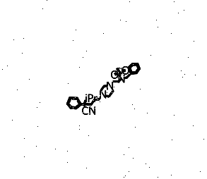 CC(C)C(C#N)(CCCN1CCN(CCN(Cc2ccccc2)S(C)(=O)=O)CC1)c1ccccc1